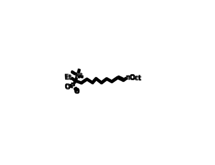 CCCCCCCCC=CCCCCCCCC(CC)(P(=O)=O)[N+](C)(C)C